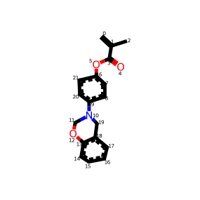 C=C(C)C(=O)Oc1ccc(N2COc3ccccc3C2)cc1